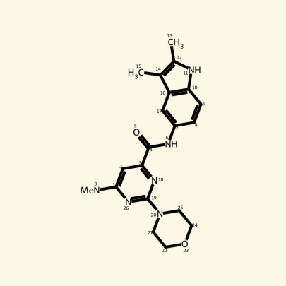 CNc1cc(C(=O)Nc2ccc3[nH]c(C)c(C)c3c2)nc(N2CCOCC2)n1